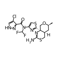 C[C@H]1C[C@H]2CSC(N)=N[C@@]2(c2nc(N(C(=O)c3n[nH]cc3Cl)C(F)F)cs2)CO1